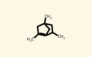 CC1=C2CC(C)(C1)CC2C